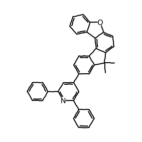 CC1(C)c2cc(-c3cc(-c4ccccc4)nc(-c4ccccc4)c3)ccc2-c2c1ccc1oc3ccccc3c21